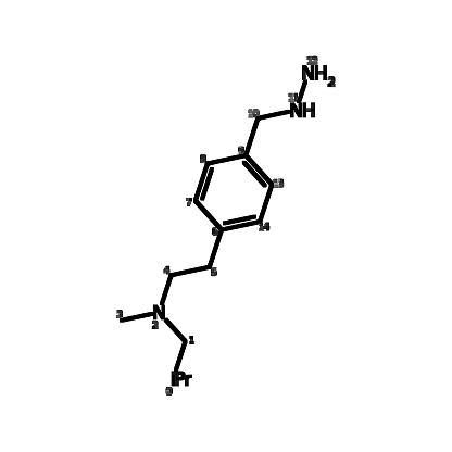 CC(C)CN(C)CCc1ccc(CNN)cc1